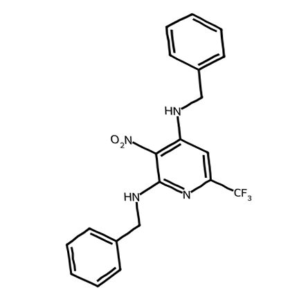 O=[N+]([O-])c1c(NCc2ccccc2)cc(C(F)(F)F)nc1NCc1ccccc1